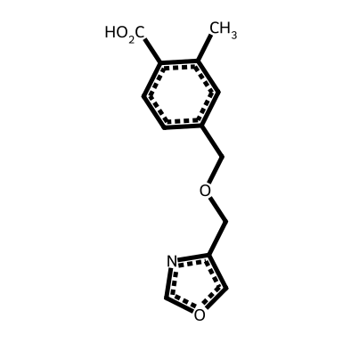 Cc1cc(COCc2cocn2)ccc1C(=O)O